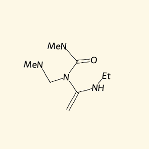 C=C(NCC)N(CNC)C(=O)NC